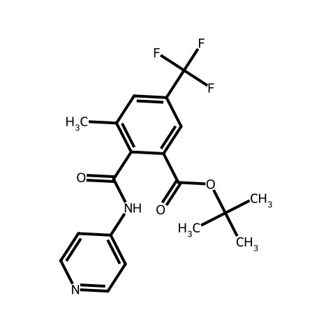 Cc1cc(C(F)(F)F)cc(C(=O)OC(C)(C)C)c1C(=O)Nc1ccncc1